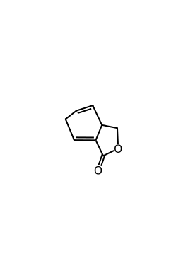 O=C1OCC2C=CCC=C12